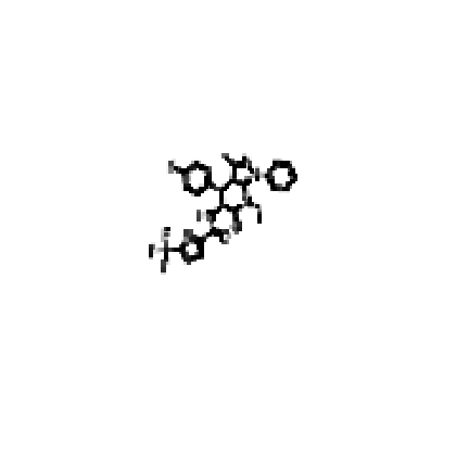 CCN1C(=O)[C@@H](NC(=O)c2csc(C(F)(F)F)n2)[C@@H](c2ccc(F)cc2)c2c(C)nn(-c3ccccc3)c21